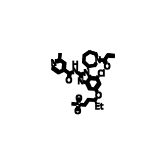 C=CC(=O)N1CCCC[C@@H](n2c(NC(=O)c3ccnc(C)c3)nc3cc(O[C@H](CC)CCS(C)(=O)=O)cc(Cl)c32)C1